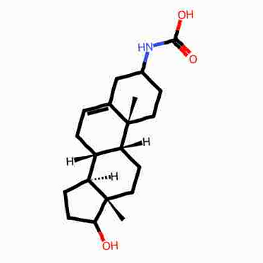 C[C@]12CCC(NC(=O)O)CC1=CC[C@@H]1[C@H]2CC[C@]2(C)C(O)CC[C@@H]12